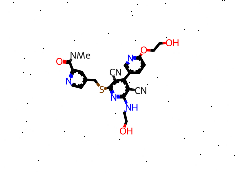 CNC(=O)c1cc(CSc2nc(NCCO)c(C#N)c(-c3ccc(OCCO)nc3)c2C#N)ccn1